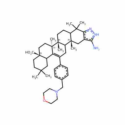 CC1(C)CC[C@]2(C(=O)O)CC[C@]3(C)C(=C(c4ccc(CN5CCOCC5)cc4)CC4[C@@]5(C)Cc6c(n[nH]c6N)C(C)(C)C5CC[C@]43C)C2C1